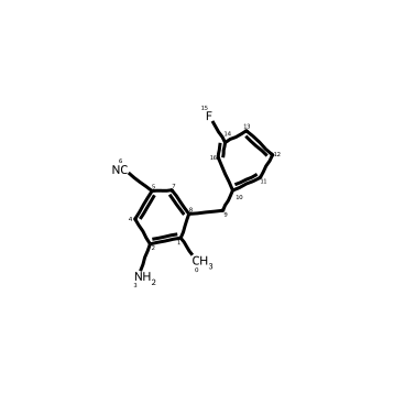 Cc1c(N)cc(C#N)cc1Cc1cccc(F)c1